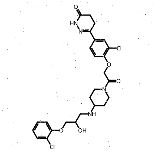 O=C1CCC(c2ccc(OCC(=O)N3CCC(NCC(O)COc4ccccc4Cl)CC3)c(Cl)c2)=NN1